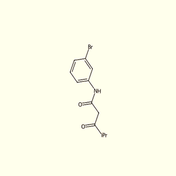 CC(C)C(=O)CC(=O)Nc1cccc(Br)c1